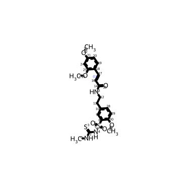 CNC(=S)NS(=O)(=O)c1cc(CCNC(=O)/C=C/c2ccc(OC)cc2OC)ccc1OC